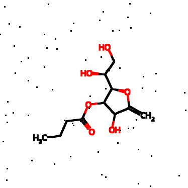 C=C1O[C@H]([C@@H](O)CO)C(OC(=O)CCC)C1O